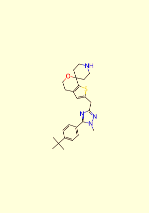 Cn1nc(Cc2cc3c(s2)C2(CCNCC2)OCC3)nc1-c1ccc(C(C)(C)C)cc1